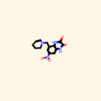 O=c1[nH]c2cc([N+](=O)[O-])cc(CN3C=CCCC3)c2[nH]c1=O